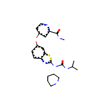 CNC(=O)c1cc(Oc2ccc3nc(N(C(=O)NC(C)C)[C@H]4CCCNC4)sc3c2)ccn1